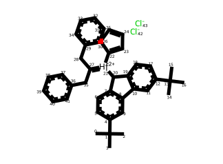 CC(C)(C)c1ccc2c(c1)-c1cc(C(C)(C)C)ccc1[CH]2[Hf+2]([C]1=CC=CC1)=[C](Cc1ccccc1)Cc1ccccc1.[Cl-].[Cl-]